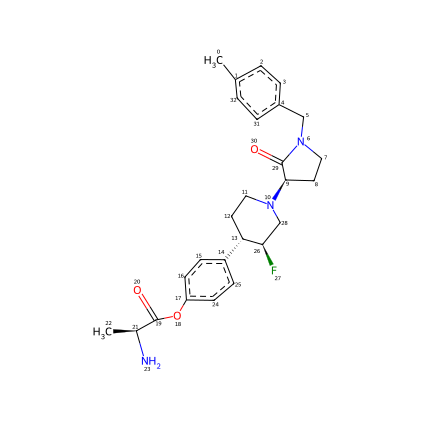 Cc1ccc(CN2CC[C@@H](N3CC[C@@H](c4ccc(OC(=O)[C@H](C)N)cc4)[C@H](F)C3)C2=O)cc1